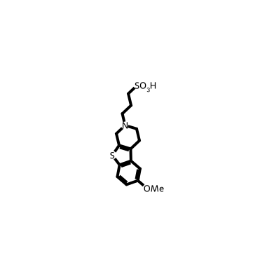 COc1ccc2sc3c(c2c1)CCN(CCCS(=O)(=O)O)C3